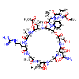 CC[C@H](C)[C@@H]1NC(=O)[C@@H](CCCNC(=N)N)NC(=O)[C@H](CC(C)C)NC(=O)[C@H]([C@H](OC(=O)C(F)(F)F)C(C)C)NC(=O)[C@@H](NC(=O)[C@H](CC(C)(C)C)NC(=O)[C@@H](CC(C)C)NC(=O)OC(C)(C)C)[C@@H](c2ccccc2)OC(=O)[C@H](CO)NC(=O)[C@H]([C@H](O)C(N)=O)NC(=O)CNC(=O)[C@H]([C@H](C)O)NC1=O